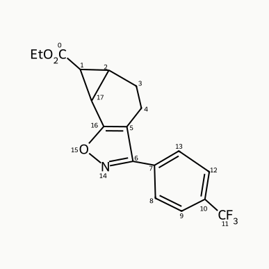 CCOC(=O)C1C2CCc3c(-c4ccc(C(F)(F)F)cc4)noc3C21